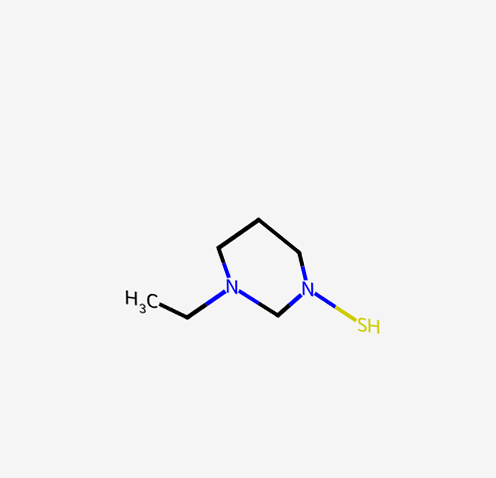 CCN1CCCN(S)C1